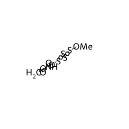 C=CC(=O)OCCNC(=O)OCCCSc1ccc2c(c1)Sc1ccc(SCCCOC)cc1S2